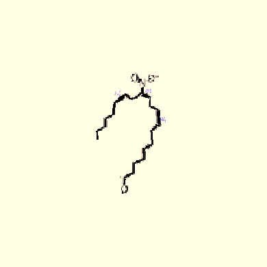 CCCCC/C=C\C/C(=C\C/C=C\CCCCCC[C]=O)[N+](=O)[O-]